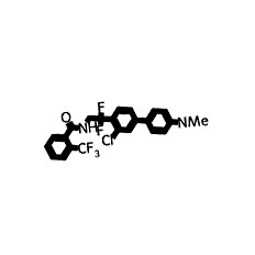 CNc1ccc(-c2ccc(C(F)(F)CNC(=O)c3ccccc3C(F)(F)F)c(Cl)c2)cc1